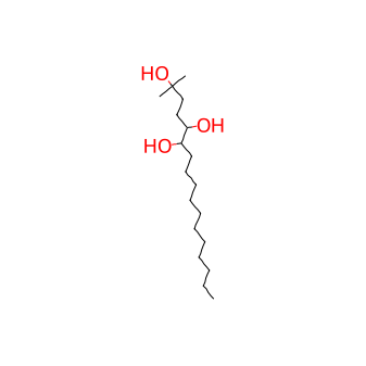 CCCCCCCCCCCC(O)C(O)CCC(C)(C)O